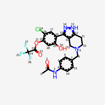 CC(=O)Nc1ccc(CN2CCc3[nH]nc(-c4cc(Cl)c(OC(=O)C(F)(F)F)cc4O)c3C2)cc1